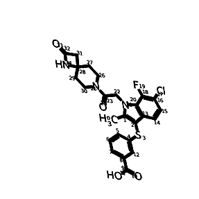 Cc1c(Sc2cccc(C(=O)O)c2)c2ccc(Cl)c(F)c2n1CC(=O)N1CCC2(CC1)CC(=O)N2